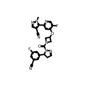 Cn1ncc(C#N)c1-c1cc(OC2CN(C(=O)N3N=CCC3c3cc(F)cc(C#N)c3)C2)c(F)cn1